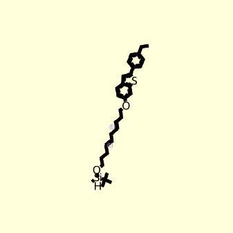 CCc1ccc(-c2cc3ccc(OCC/C=C/C/C=C/CCCO[SiH](C)C(C)(C)C)cc3s2)cc1